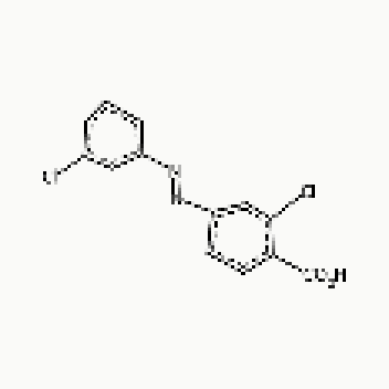 O=C(O)c1ccc(/N=N/c2cccc(Cl)c2)cc1Cl